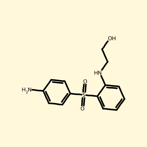 Nc1ccc(S(=O)(=O)c2ccccc2NCCO)cc1